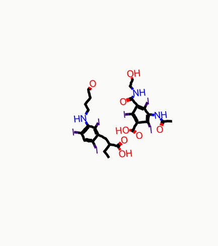 CC(=O)Nc1c(I)c(C(=O)O)c(I)c(C(=O)NCCO)c1I.CCC(Cc1c(I)cc(I)c(NCCCC=O)c1I)C(=O)O